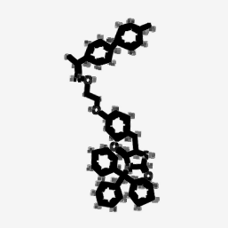 CC(=NOCCOc1ccc(CC2SC(=O)N(C(c3ccccc3)(c3ccccc3)c3ccccc3)C2=O)cc1)c1ccc(-c2ccc(C)cc2)cc1